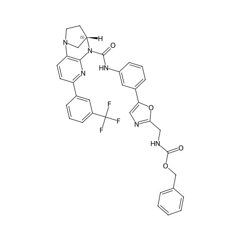 O=C(NCc1ncc(-c2cccc(NC(=O)N3c4nc(-c5cccc(C(F)(F)F)c5)ccc4N4CC[C@H]3C4)c2)o1)OCc1ccccc1